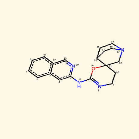 c1ccc2cc(NC3=NCCC4(CN5CCC4CC5)O3)ncc2c1